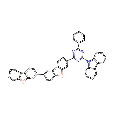 c1ccc(-c2nc(-c3ccc4c(c3)oc3ccc(-c5ccc6c(c5)oc5ccccc56)cc34)nc(-n3c4ccccc4c4ccccc43)n2)cc1